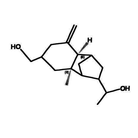 C=C1CC(CO)C[C@]2(C)C3CC(CC3C(C)O)[C@H]12